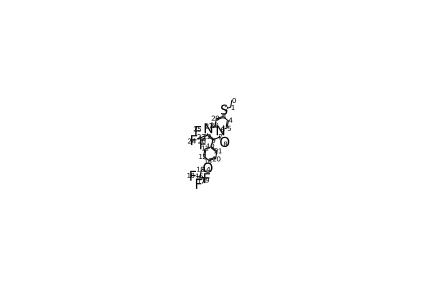 CCSc1ccn2c(=O)c(-c3ccc(OCC(F)(F)F)cc3)c(C(F)(F)F)nc2c1